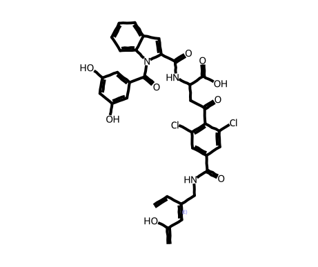 C=C/C(=C\C(=C)O)CNC(=O)c1cc(Cl)c(C(=O)CC(NC(=O)c2cc3ccccc3n2C(=O)c2cc(O)cc(O)c2)C(=O)O)c(Cl)c1